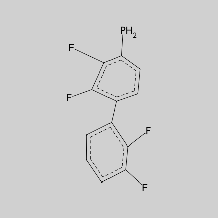 Fc1cccc(-c2ccc(P)c(F)c2F)c1F